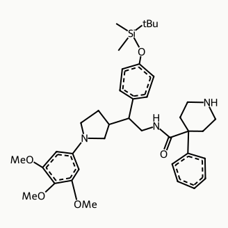 COc1cc(N2CCC(C(CNC(=O)C3(c4ccccc4)CCNCC3)c3ccc(O[Si](C)(C)C(C)(C)C)cc3)C2)cc(OC)c1OC